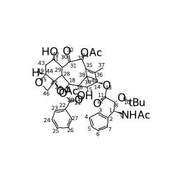 CC(=O)N[C@@H](c1ccccc1)[C@@H](OC(C)(C)C)C(=O)O[C@H]1C[C@@]2(O)[C@@H](OC(=O)c3ccccc3)C3[C@](C)(C(=O)[C@H](OC(C)=O)C(=C1C)C2(C)C)[C@@H](O)C[C@H]1OC[C@@]31OC(C)=O